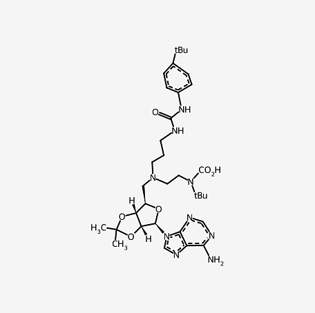 CC1(C)O[C@@H]2[C@H](O1)[C@@H](CN(CCCNC(=O)Nc1ccc(C(C)(C)C)cc1)CCN(C(=O)O)C(C)(C)C)O[C@H]2n1cnc2c(N)ncnc21